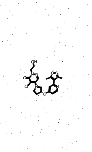 Cc1noc(C)c1-c1cc(O[C@@H]2CCN(c3cnn(CCO)c(=O)c3Cl)C2)ccn1